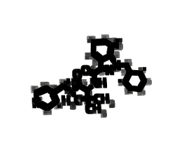 CC(C)(C)[C@H](NC(=O)c1nn(CC2CCCCC2)c2c(F)cccc12)C(=O)NCc1ccncc1